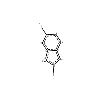 Ic1ccc2cc(I)oc2c1